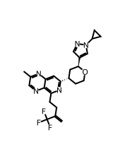 C=C(CCc1nc([C@H]2CCO[C@H](c3cnn(C4CC4)c3)C2)cc2nc(C)cnc12)C(F)(F)F